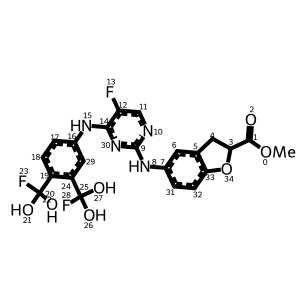 COC(=O)C1Cc2cc(Nc3ncc(F)c(Nc4ccc(C(O)(O)F)c(C(O)(O)F)c4)n3)ccc2O1